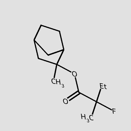 CCC(C)(F)C(=O)OC1(C)CC2CCC1C2